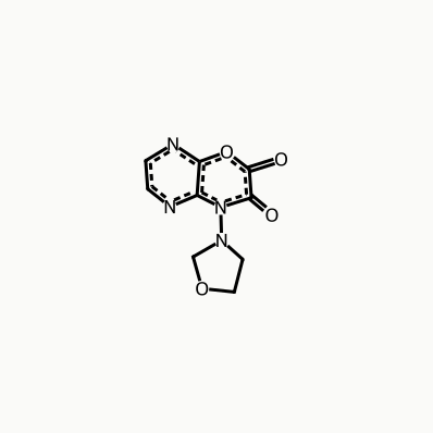 O=c1oc2nccnc2n(N2CCOC2)c1=O